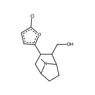 CN1C2CCC1C(CO)C(c1ccc(Cl)o1)C2